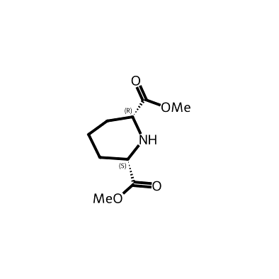 COC(=O)[C@@H]1CCC[C@H](C(=O)OC)N1